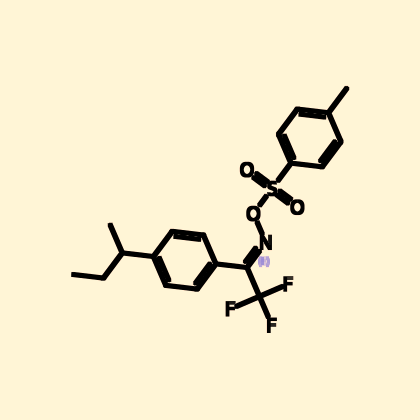 CCC(C)c1ccc(/C(=N\OS(=O)(=O)c2ccc(C)cc2)C(F)(F)F)cc1